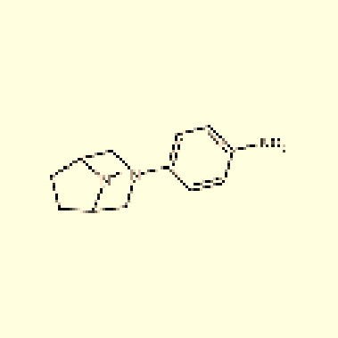 CN1C2CCC1CN(c1ccc([N+](=O)[O-])cc1)C2